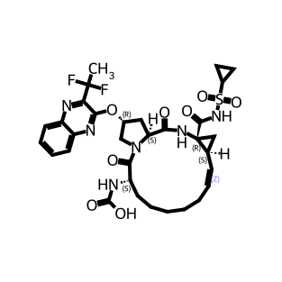 CC(F)(F)c1nc2ccccc2nc1O[C@@H]1C[C@H]2C(=O)N[C@]3(C(=O)NS(=O)(=O)C4CC4)C[C@H]3/C=C\CCCCC[C@H](NC(=O)O)C(=O)N2C1